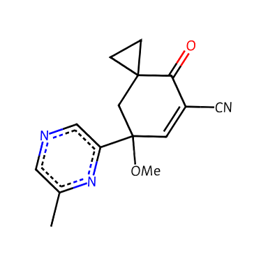 COC1(c2cncc(C)n2)C=C(C#N)C(=O)C2(CC2)C1